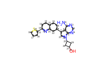 Nc1ncnc2c1c(-c1ccc3ccc(-c4cccs4)nc3c1)cn2C1CC(O)C1